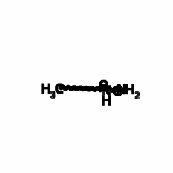 CCCCCCCCCCCCCCCC(=O)NCCCON